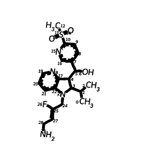 CC(C)C1C(C(O)c2ccc(S(C)(=O)=O)nc2)c2ncccc2N1C/C(F)=C/CN